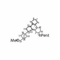 CCCCCC1CCC(c2ccccc2-c2ccc(C3CCC(COC)CC3)cc2)CC1